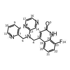 O=c1cc(CN(Cc2ccccn2)c2cnccn2)c2cccc(F)c2[nH]1